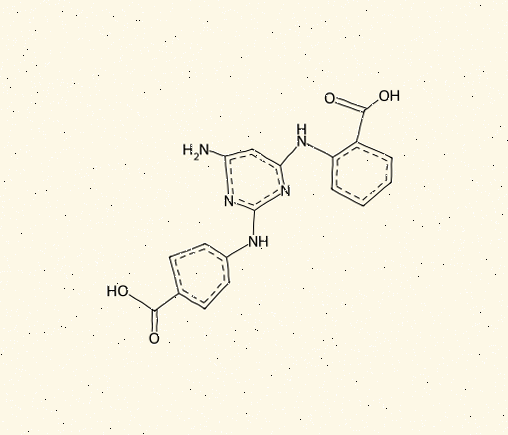 Nc1cc(Nc2ccccc2C(=O)O)nc(Nc2ccc(C(=O)O)cc2)n1